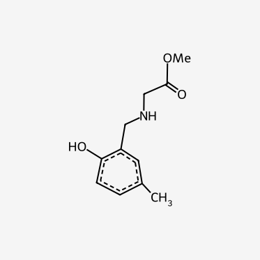 COC(=O)CNCc1cc(C)ccc1O